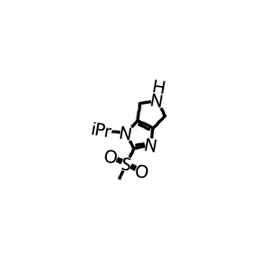 CC(C)n1c(S(C)(=O)=O)nc2c1CNC2